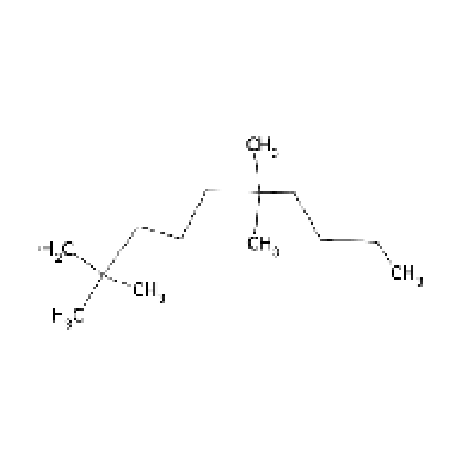 [CH2]C(C)(C)CCCC(C)(C)CCCC